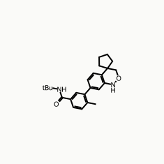 Cc1ccc(C(=O)NC(C)(C)C)cc1-c1ccc2c(c1)NOCC21CCCC1